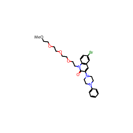 COCCOCCOCCOCCn1c(=O)c(N2CCN(c3ccccc3)CC2)cc2cc(Br)ccc21